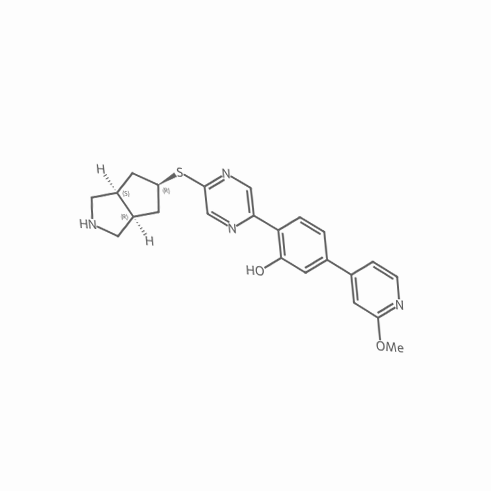 COc1cc(-c2ccc(-c3cnc(S[C@H]4C[C@H]5CNC[C@H]5C4)cn3)c(O)c2)ccn1